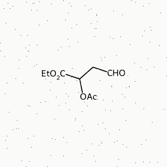 CCOC(=O)C(CC=O)OC(C)=O